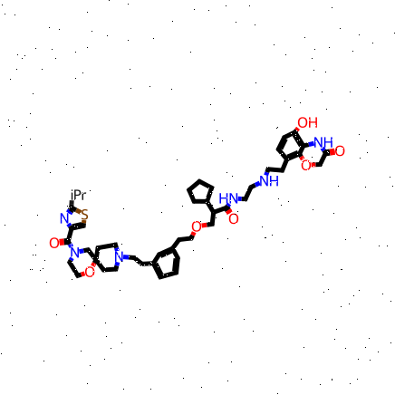 CC(C)c1nc(C(=O)N2CCOC3(CCN(CCc4cccc(CCOCC(C(=O)NCCNCCc5ccc(O)c6c5OCC(=O)N6)C5CCCC5)c4)CC3)C2)cs1